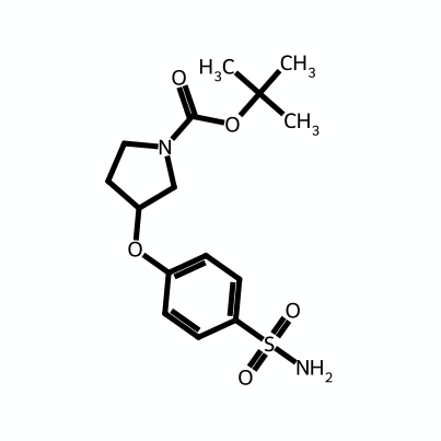 CC(C)(C)OC(=O)N1CCC(Oc2ccc(S(N)(=O)=O)cc2)C1